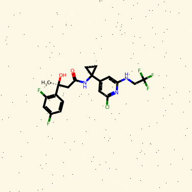 C[C@](O)(CC(=O)NC1(c2cc(Cl)nc(NCC(F)(F)F)c2)CC1)c1ccc(F)cc1F